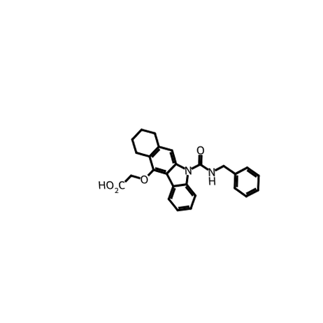 O=C(O)COc1c2c(cc3c1c1ccccc1n3C(=O)NCc1ccccc1)CCCC2